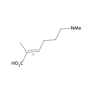 CNCCC/C=C(\C)C(=O)O